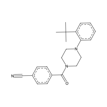 CC(C)(C)c1ccccc1N1CCN(C(=O)c2ccc(C#N)cc2)CC1